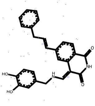 O=C1NC(=O)c2ccc(/C=C/Cc3ccccc3)cc2/C1=C\NCc1ccc(O)c(O)c1